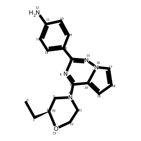 CC[C@H]1CN(c2nc(-c3ccc(N)cc3)nn3cccc23)CCO1